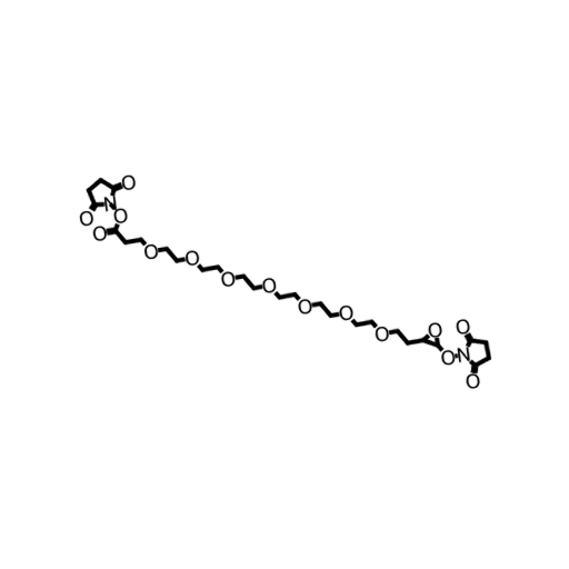 O=C(CCOCCOCCOCCOCCOCCOCCOCCC1OC1ON1C(=O)CCC1=O)ON1C(=O)CCC1=O